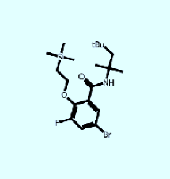 CC(C)(C)CC(C)(C)NC(=O)c1cc(Br)cc(F)c1OCC[Si](C)(C)C